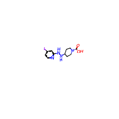 O=C(O)N1CCC(NNc2cc(I)ccn2)CC1